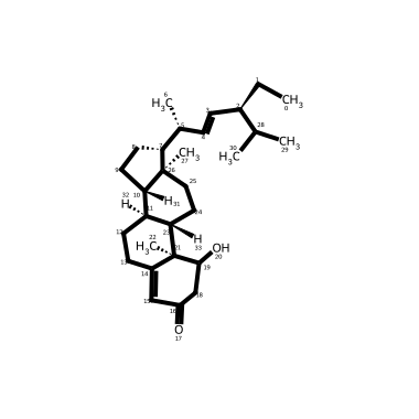 CC[C@H](C=C[C@@H](C)[C@H]1CC[C@H]2[C@@H]3CCC4=CC(=O)CC(O)[C@]4(C)[C@H]3CC[C@]12C)C(C)C